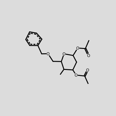 CC(=O)OC1CC(OC(C)=O)C(C)C(COCc2ccccc2)O1